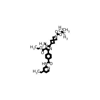 CCOC(=O)c1c(-c2ccc(C(=O)Nc3cc(CC)ccn3)cc2)nc(C2CC3(C2)CN(C(=O)OC(C)(C)C)C3)n1N